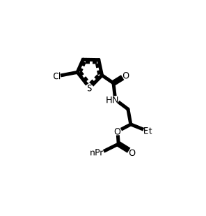 CCCC(=O)OC(CC)CNC(=O)c1ccc(Cl)s1